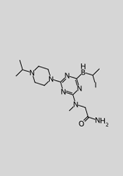 CC(I)Bc1nc(N(C)CC(N)=O)nc(N2CCN(C(C)C)CC2)n1